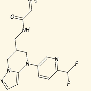 C=CC(=O)NCC1CN(c2ccc(C(F)F)nc2)c2ccnn2C1